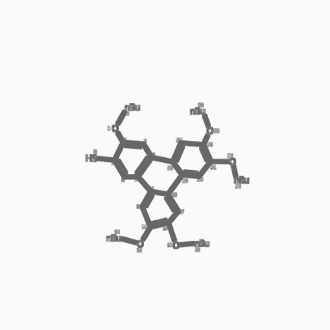 CCCCOc1cc2c(cc1S)c1cc(OCCCC)c(OCCCC)cc1c1cc(OCCCC)c(OCCCC)cc21